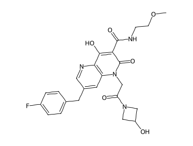 COCCNC(=O)c1c(O)c2ncc(Cc3ccc(F)cc3)cc2n(CC(=O)N2CC(O)C2)c1=O